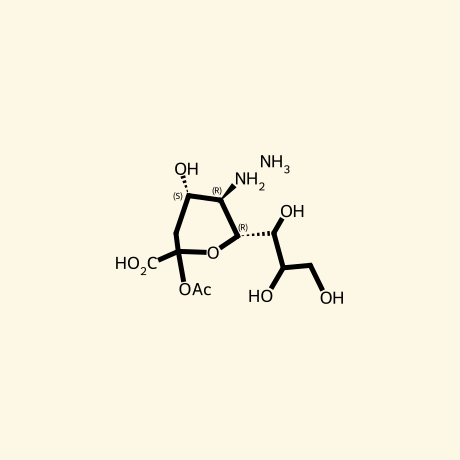 CC(=O)OC1(C(=O)O)C[C@H](O)[C@@H](N)[C@H](C(O)C(O)CO)O1.N